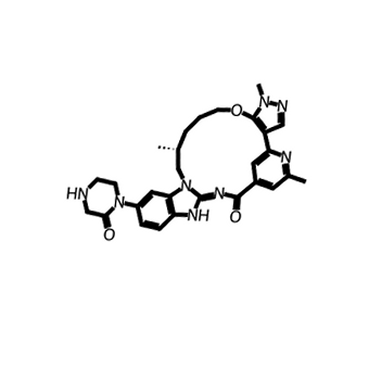 Cc1cc2cc(n1)-c1cnn(C)c1OCCC[C@@H](C)CN1/C(=N/C2=O)Nc2ccc(N3CCNCC3=O)cc21